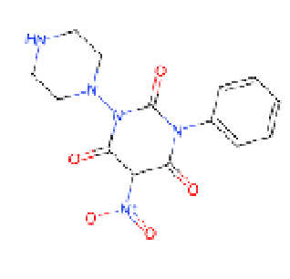 O=C1C([N+](=O)[O-])C(=O)N(N2CCNCC2)C(=O)N1c1ccccc1